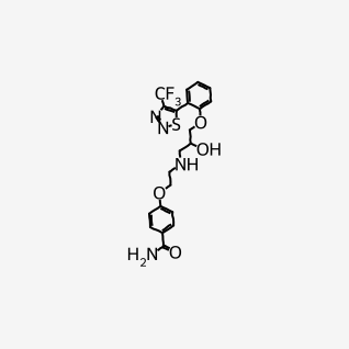 NC(=O)c1ccc(OCCNCC(O)COc2ccccc2-c2snnc2C(F)(F)F)cc1